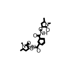 CC1C[C@@H](ONC(=O)c2cccc(C(=O)NO[C@@H]3CC(C)N(C)C3=O)c2)C(=O)N1C